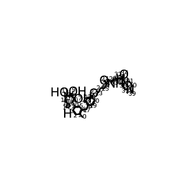 Cc1ccc([C@H]2[C@H](O)[C@H](O)[C@H](O)C[SH]2C)cc1Cc1ccc(OCCCC(=O)NCC(C)(C)C(=O)N2CCN(C)CC2)cc1